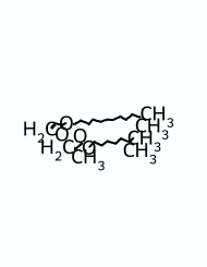 C=C(C)C(=O)OCCCCCC(C)C.C=CC(=O)OCCCCCCCCCCC(C)C